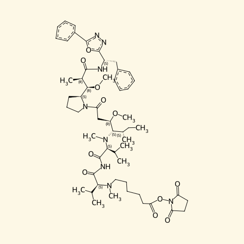 CC[C@H](C)[C@@H]([C@@H](CC(=O)N1CCC[C@H]1[C@H](OC)[C@@H](C)C(=O)N[C@@H](Cc1ccccc1)c1nnc(-c2ccccc2)o1)OC)N(C)[C@H](C(=O)NC(=O)[C@H](C(C)C)N(C)CCCCCC(=O)ON1C(=O)CCC1=O)C(C)C